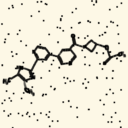 Cc1nc(-c2cc(-c3cncc(C(=O)N4CC(OC(=O)C(F)(F)F)C4)c3)ccn2)[nH]c1C